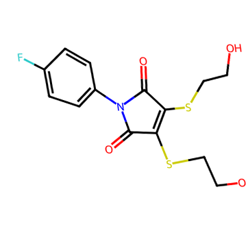 O=C1C(SCCO)=C(SCCO)C(=O)N1c1ccc(F)cc1